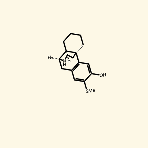 CSc1cc2c(cc1O)[C@]13CCCC[C@@H]1[C@H](C2)NCC3